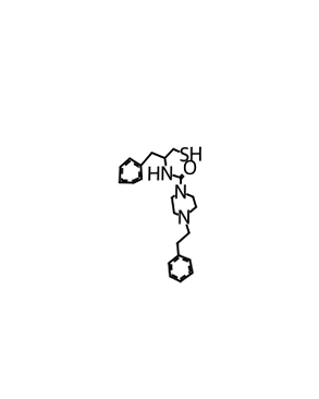 O=C(NC(CS)Cc1ccccc1)N1CCN(CCc2ccccc2)CC1